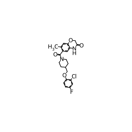 Cc1cc2c(cc1C(=O)N1CCC(COc3ccc(F)cc3Cl)CC1)NC(=O)CO2